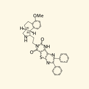 COc1cccc2c1CC[C@H]1CNC(CCn3c(=O)[nH]c4c(sc5nc(-c6ccccc6)c(-c6ccccc6)nc54)c3=O)[C@@H]21